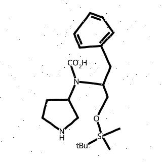 CC(C)(C)[Si](C)(C)OCC(Cc1ccccc1)N(C(=O)O)C1CCNC1